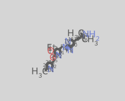 CCOc1cc(Cn2cnc3cc(C#CC(C)(C)N)cnc32)cnc1OCc1ccc(C)nc1